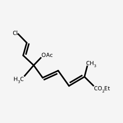 CCOC(=O)C(C)=CC=CC(C)(C=CCl)OC(C)=O